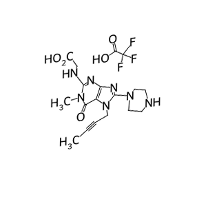 CC#CCn1c(N2CCNCC2)nc2nc(NCC(=O)O)n(C)c(=O)c21.O=C(O)C(F)(F)F